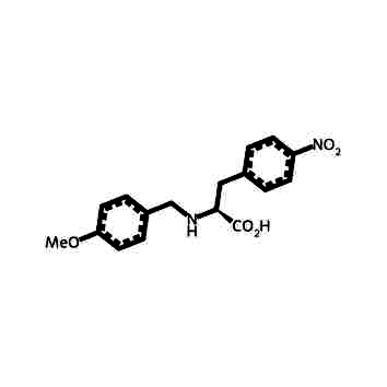 COc1ccc(CN[C@@H](Cc2ccc([N+](=O)[O-])cc2)C(=O)O)cc1